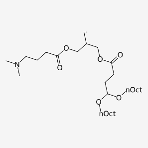 [CH2]C(COC(=O)CCCN(C)C)COC(=O)CCC(OCCCCCCCC)OCCCCCCCC